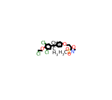 CC(C)(c1ccc(OCCc2ocnc2S(C)(=O)=O)cc1)c1cc(Cl)c(OCCCl)c(Cl)c1